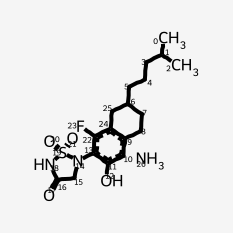 CC(C)CCCC1CCc2cc(O)c(N3CC(=O)NS3(=O)=O)c(F)c2C1.N